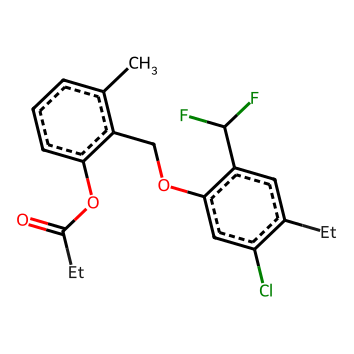 CCC(=O)Oc1cccc(C)c1COc1cc(Cl)c(CC)cc1C(F)F